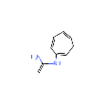 C=C(N)NC1=CCC=CC=C1